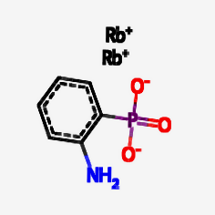 Nc1ccccc1P(=O)([O-])[O-].[Rb+].[Rb+]